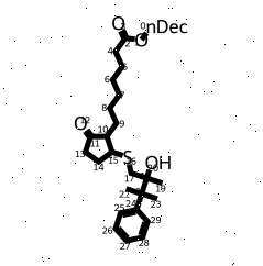 CCCCCCCCCCOC(=O)CCCCCCC1C(=O)CCC1SCC(C)(O)C(C)(C)c1ccccc1